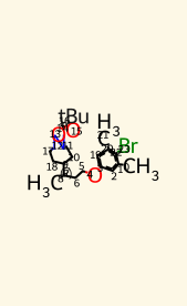 Cc1cc(OCC[C@@H](C)C2CCN(OC(=O)C(C)(C)C)CC2)cc(C)c1Br